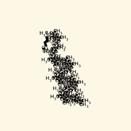 CCOC(=O)OCCCC[Si](C)(C)O[Si](C)(C)O[Si](C)(C)O[Si](C)(C)O[Si](C)(C)O[Si](C)(C)O[Si](C)(C)O[Si](C)(C)O[Si](C)(C)O[Si](C)(C)O[Si](C)(C)O[Si](C)(C)O[Si](C)(C)O[Si](C)(C)O[Si](C)(C)O[Si](C)(C)O[Si](C)(C)O[Si](C)(C)O[Si](C)(C)O[Si](C)(C)O[Si](C)(C)O[Si](C)(C)O[Si](C)(C)O[Si](C)(C)O[Si](C)(C)O[Si](C)(C)O[Si](C)(C)C